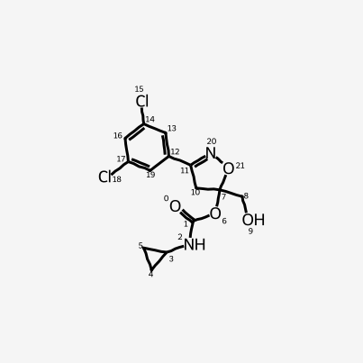 O=C(NC1CC1)OC1(CO)CC(c2cc(Cl)cc(Cl)c2)=NO1